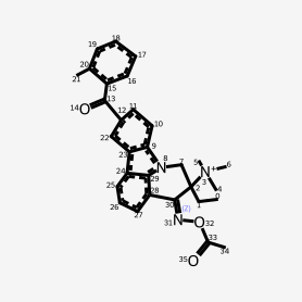 CCC1([N+](C)(C)C)Cn2c3ccc(C(=O)c4ccccc4C)cc3c3cccc(c32)/C1=N/OC(C)=O